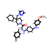 COc1ccc(NC2CCC(N[C@H](Cc3ccc(Cl)cc3)C(=O)N3CCC(Cn4cncn4)(C4CCCCC4)CC3)CC2)cc1